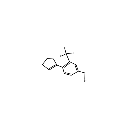 FC(F)(F)c1cc(CBr)ccc1C1=CCCC1